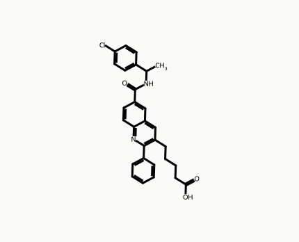 CC(NC(=O)c1ccc2nc(-c3ccccc3)c(CCCCC(=O)O)cc2c1)c1ccc(Cl)cc1